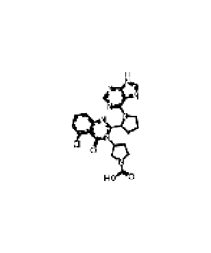 O=C(O)N1CCC(n2c(C3CCCN3c3ncnc4[nH]cnc34)nc3cccc(Cl)c3c2=O)C1